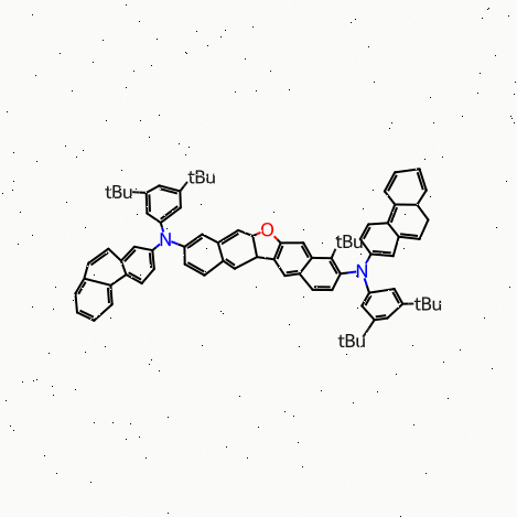 CC(C)(C)c1cc(N(c2ccc3c(c2)=CC2Oc4cc5c(C(C)(C)C)c(N(c6cc(C(C)(C)C)cc(C(C)(C)C)c6)c6ccc7c(c6)=CCC6C=CC=CC=76)ccc5cc4C2C=3)c2ccc3c(ccc4ccccc43)c2)cc(C(C)(C)C)c1